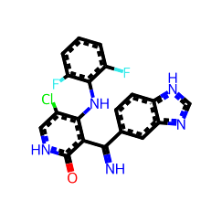 N=C(c1ccc2[nH]cnc2c1)c1c(Nc2c(F)cccc2F)c(Cl)c[nH]c1=O